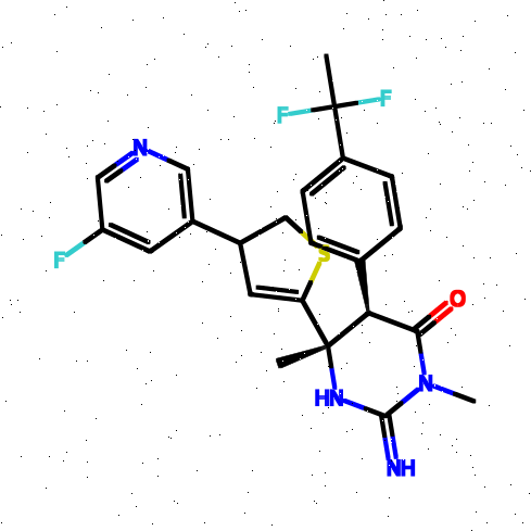 CN1C(=N)N[C@](C)(C2=CC(c3cncc(F)c3)CS2)[C@@H](c2ccc(C(C)(F)F)cc2)C1=O